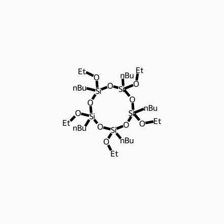 CCCC[Si]1(OCC)O[Si](CCCC)(OCC)O[Si](CCCC)(OCC)O[Si](CCCC)(OCC)O[Si](CCCC)(OCC)O1